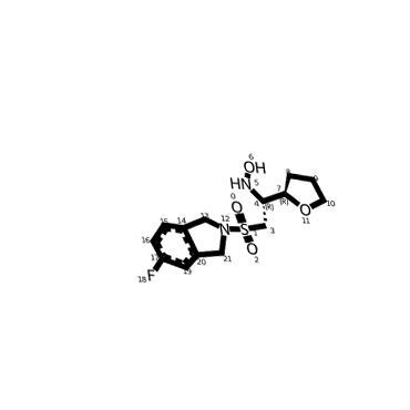 O=S(=O)(C[C@H](NO)[C@H]1CCCO1)N1Cc2ccc(F)cc2C1